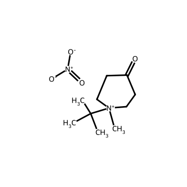 CC(C)(C)[N+]1(C)CCC(=O)CC1.O=[N+]([O-])[O-]